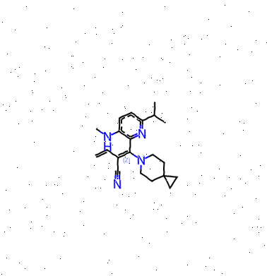 C=C/C(C#N)=C(\c1nc(C(C)C)ccc1NC)N1CCC2(CC1)CC2